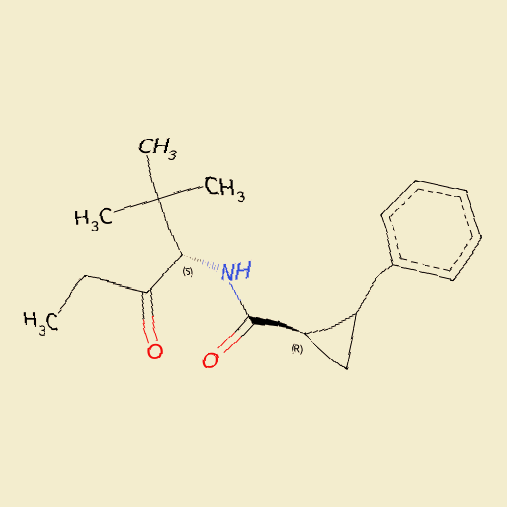 CCC(=O)[C@@H](NC(=O)[C@@H]1CC1c1ccccc1)C(C)(C)C